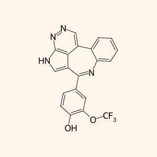 Oc1ccc(C2=Nc3ccccc3-c3cnnc4[nH]cc2c34)cc1OC(F)(F)F